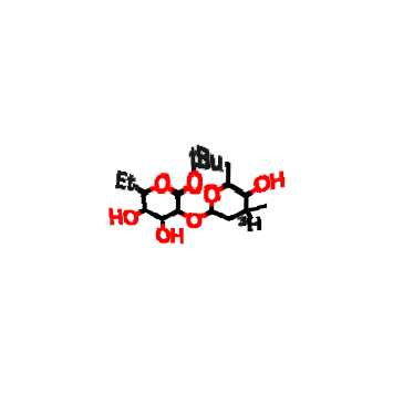 [3H]C1(C)CC(OC2C(OC(C)(C)C)OC(CC)C(O)C2O)OC(C)C1O